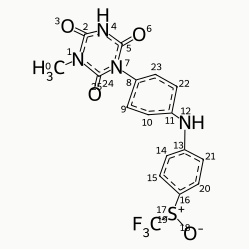 Cn1c(=O)[nH]c(=O)n(-c2ccc(Nc3ccc([S+]([O-])C(F)(F)F)cc3)cc2)c1=O